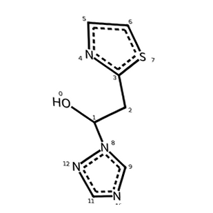 OC(Cc1nccs1)n1cncn1